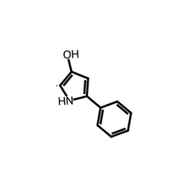 Oc1[c][nH]c(-c2ccccc2)c1